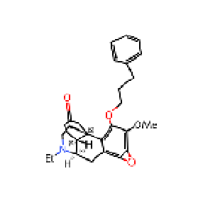 CCN1CC[C@]23CC(=O)CC[C@H]2[C@H]1Cc1c2c(c(OC)c(OCCCc4ccccc4)c13)O2